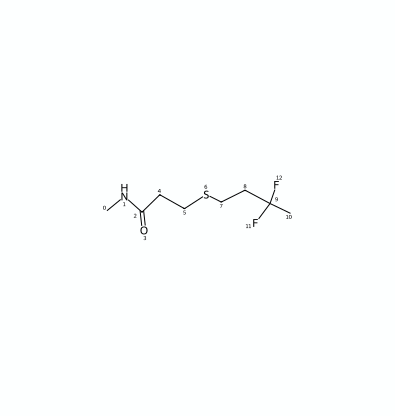 CNC(=O)CCSCCC(C)(F)F